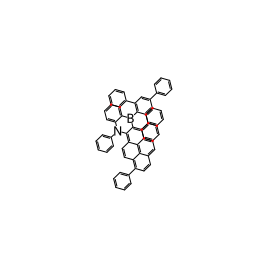 c1ccc(-c2cc(-c3ccccc3)c(B3c4ccccc4N(c4ccccc4)c4c3c(-c3ccccc3)c3ccc5ccc(-c6ccccc6)c6ccc4c3c56)c(-c3ccccc3)c2)cc1